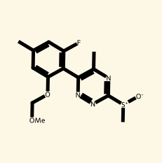 COCOc1cc(C)cc(F)c1-c1nnc([S+](C)[O-])nc1C